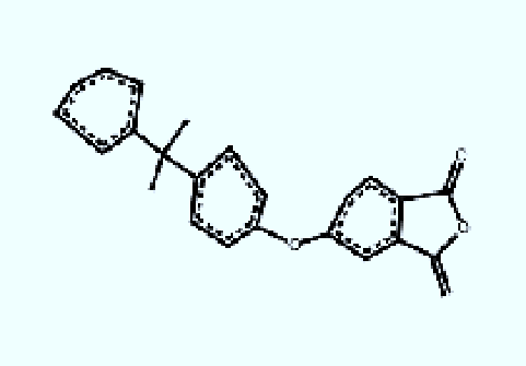 C=C1OC(=O)c2ccc(Oc3ccc(C(C)(C)c4ccccc4)cc3)cc21